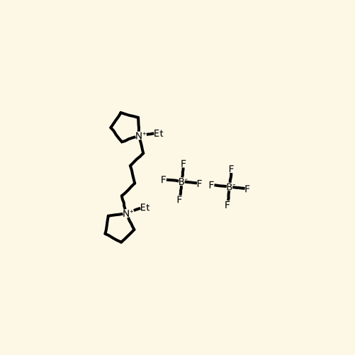 CC[N+]1(CCCC[N+]2(CC)CCCC2)CCCC1.F[B-](F)(F)F.F[B-](F)(F)F